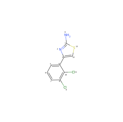 Nc1nc(-c2cccc(Cl)c2Cl)cs1